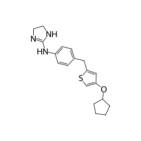 c1cc(NC2=NCCN2)ccc1Cc1cc(OC2CCCC2)cs1